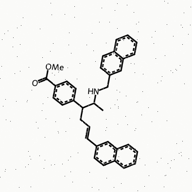 COC(=O)c1ccc(C(CC=Cc2ccc3ccccc3c2)C(C)NCc2ccc3ccccc3c2)cc1